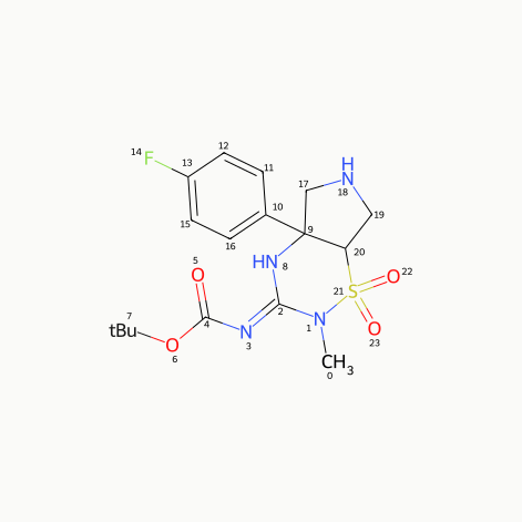 CN1/C(=N/C(=O)OC(C)(C)C)NC2(c3ccc(F)cc3)CNCC2S1(=O)=O